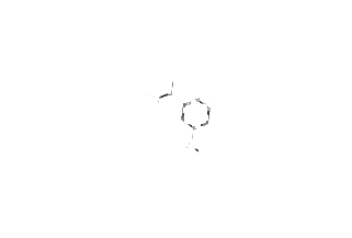 CC(=NO)c1cccc([N+](=O)[O-])c1.O